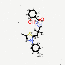 CCc1ccc(N2C=C(C)SC2=CC(C)(C)CNC(=O)c2ccccc2O)cc1